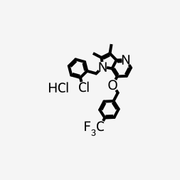 Cc1c(C)n(Cc2ccccc2Cl)c2c(OCc3ccc(C(F)(F)F)cc3)ccnc12.Cl